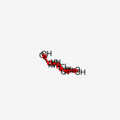 Cc1c(NC(=O)c2nc3c([nH]2)CCC(CCCC24CCC(C(=O)O)(CC2)C4)CCC3)cccc1-c1cccc(NC(=O)c2nc3c(n2C)CCN(CC24CCC(C(=O)O)(CC2)C4)C3)c1Cl